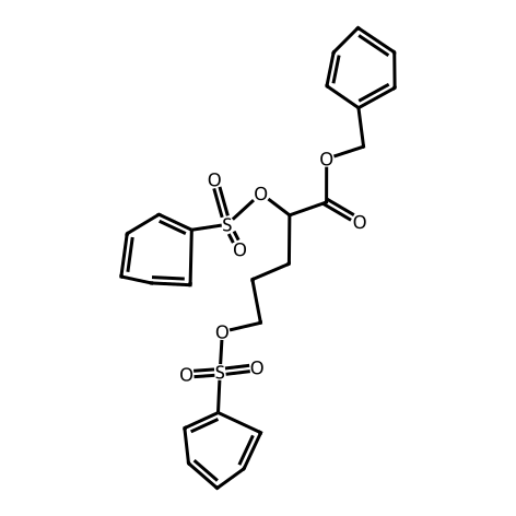 O=C(OCc1ccccc1)C(CCCOS(=O)(=O)c1ccccc1)OS(=O)(=O)c1ccccc1